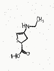 CCNC1=CS[C@H](C(=O)O)C1